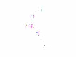 Cc1ccc(-c2ccc(-c3nc(-c4ccc(CN(CC(O)O)C(=O)c5ccc(NC(=O)Cc6ccc(C(F)(F)F)cc6)cc5)cc4)no3)cc2)cc1